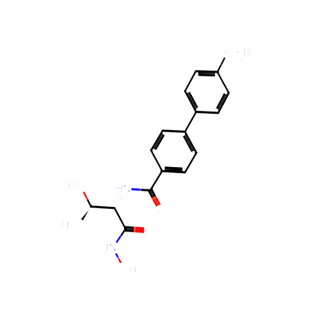 C[C@@H](O)[C@H](NC(=O)c1ccc(-c2ccc(C(=O)O)cc2)cc1)C(=O)NO